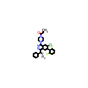 C=CC(=O)N1CCN(c2nnc(C(C)c3ccccc3)c3cc(-c4c(F)cccc4F)c(Cl)cc23)CC1